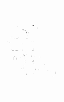 CCCCCCCCC(=O)[O-].CC[N+](C)(C1CCCCC1)C1CCCCC1